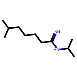 CC(C)CCCCC(=N)NC(C)C